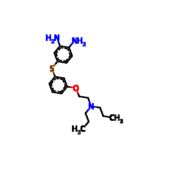 CCCN(CCC)CCOc1cccc(Sc2ccc(N)c(N)c2)c1